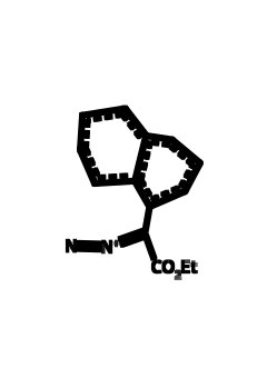 CCOC(=O)C(=[N+]=[N-])c1cccc2ccccc12